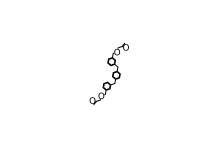 c1cc(COCC2CO2)cc(Cc2ccc(Cc3cccc(COCC4CO4)c3)cc2)c1